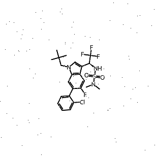 CN(C)S(=O)(=O)N[C@@H](c1cn(CC(C)(C)C)c2cc(-c3ccccc3Cl)c(F)cc12)C(F)(F)F